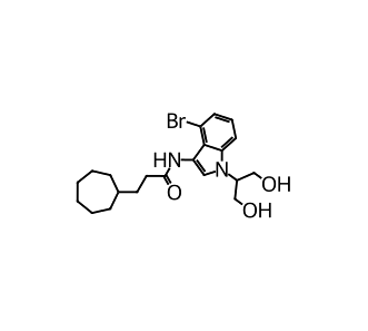 O=C(CCC1CCCCCC1)Nc1cn(C(CO)CO)c2cccc(Br)c12